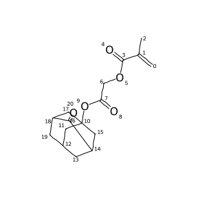 C=C(C)C(=O)OCC(=O)OC12CC3CC(C1)C(=O)C(C3)C2